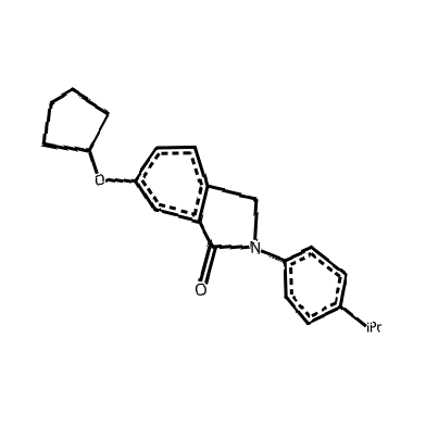 CC(C)c1ccc(N2Cc3ccc(OC4CCCC4)cc3C2=O)cc1